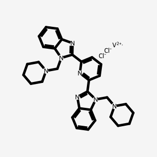 [Cl-].[Cl-].[V+2].c1cc(-c2nc3ccccc3n2CN2CCCCC2)nc(-c2nc3ccccc3n2CN2CCCCC2)c1